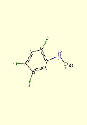 O=CNc1cc(F)c(F)cc1F